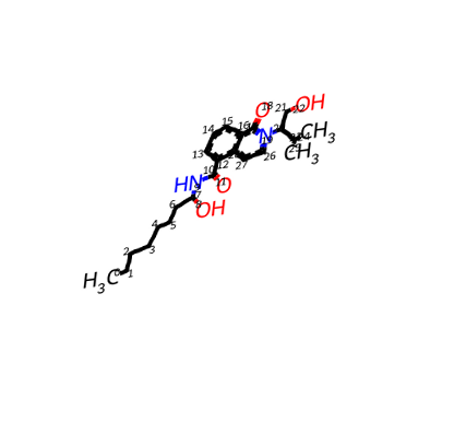 CCCCCCCC(O)NC(=O)c1cccc2c(=O)n(C(CO)C(C)C)ccc12